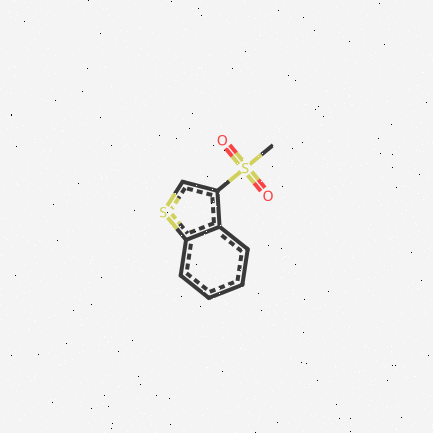 CS(=O)(=O)c1csc2ccccc12